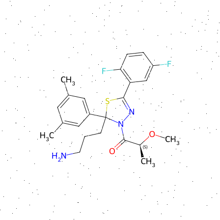 CO[C@@H](C)C(=O)N1N=C(c2cc(F)ccc2F)SC1(CCCN)c1cc(C)cc(C)c1